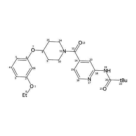 CCOc1cccc(OC2CCN(C(=O)c3ccnc(NC(=O)C(C)(C)C)c3)CC2)c1